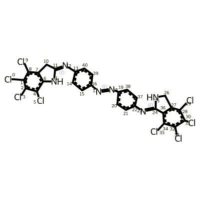 Clc1c(Cl)c(Cl)c2c(c1Cl)C/C(=N/c1ccc(/N=N/c3ccc(/N=C4\NCc5c(Cl)c(Cl)c(Cl)c(Cl)c54)cc3)cc1)N2